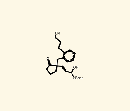 CCCCC[C@H](O)/C=C/[C@]1(Cc2ccccc2CCCC#N)CCCC1=O